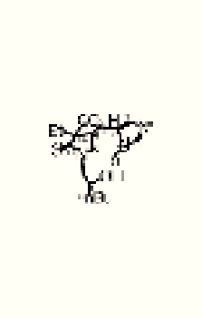 CCCCC(O)CN1CC(Cc2cncn2C)C(CC)(C(=O)O)C1=O